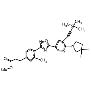 Cc1cc(CCC(=O)OC(C)(C)C)ccc1-c1noc(-c2cnc(N3CCC(F)(F)C3)c(C#C[Si](C)(C)C)c2)n1